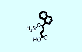 O=C(O)C=CC(O[SiH3])c1cccc2ccccc12